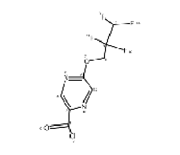 O=C(Cl)c1cnc(OCC(F)(F)C(F)F)cn1